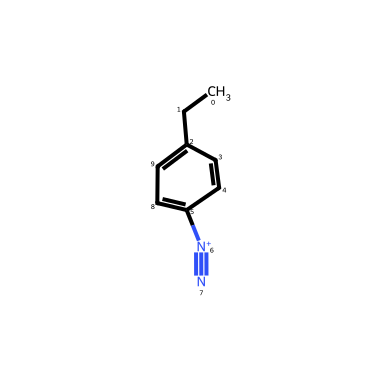 CCc1ccc([N+]#N)cc1